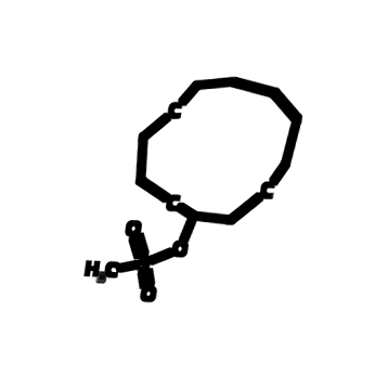 CS(=O)(=O)OC1CCCCCCCCCCC1